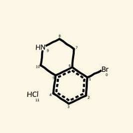 Brc1cccc2c1CCNC2.Cl